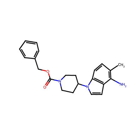 Cc1ccc2c(ccn2C2CCN(C(=O)OCc3ccccc3)CC2)c1N